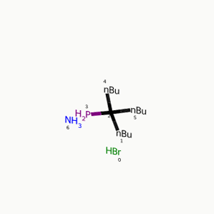 Br.CCCCC(P)(CCCC)CCCC.N